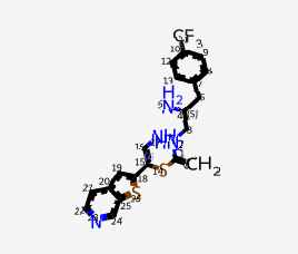 C=C(NC[C@@H](N)Cc1ccc(C(F)(F)F)cc1)S/C(=C\N)c1cc2ccncc2s1